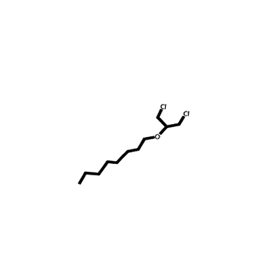 CCCCCCCCOC(CCl)CCl